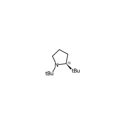 CC(C)(C)[C@@H]1CCCN1C(C)(C)C